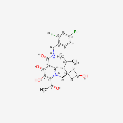 CC(=O)c1c(O)c(=O)c(C(=O)NCc2ccc(F)cc2F)cn1C[C@]1(CC(C)C)C[C@H](O)C1